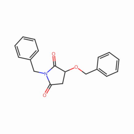 O=C1CC(OCc2ccccc2)C(=O)N1Cc1ccccc1